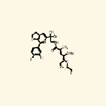 C=C/C(OCCF)=C(\C=C(/C)C(=O)NCC(C)(O)c1cc2c(c(-c3ccc(F)c(Cl)c3)n1)OCC2)OC